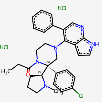 CCC(=O)N1CCN(c2c(-c3ccccc3)cnc3[nH]ccc23)C[C@@]1(c1ccc(Cl)cc1)[C@@H]1CCCN1C.Cl.Cl